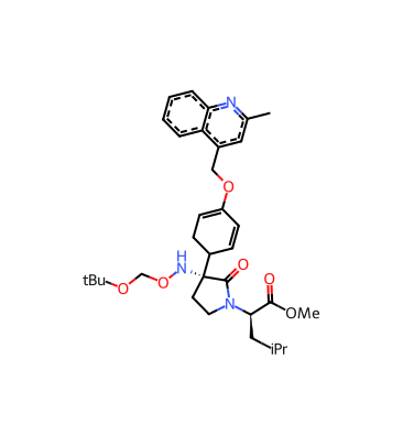 COC(=O)[C@@H](CC(C)C)N1CC[C@@](NOCOC(C)(C)C)(C2C=CC(OCc3cc(C)nc4ccccc34)=CC2)C1=O